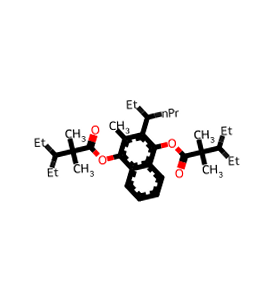 CCCC(CC)c1c(C)c(OC(=O)C(C)(C)C(CC)CC)c2ccccc2c1OC(=O)C(C)(C)C(CC)CC